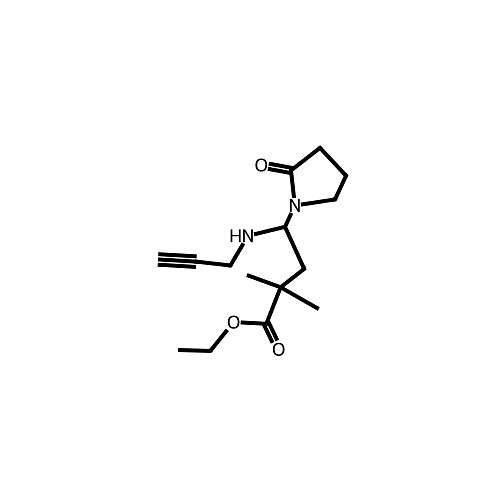 C#CCNC(CC(C)(C)C(=O)OCC)N1CCCC1=O